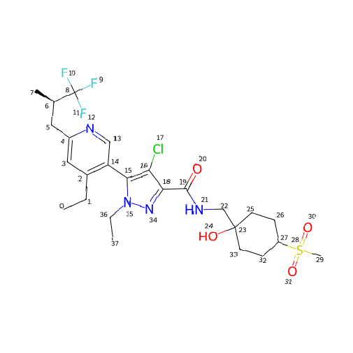 CCc1cc(C[C@@H](C)C(F)(F)F)ncc1-c1c(Cl)c(C(=O)NCC2(O)CCC(S(C)(=O)=O)CC2)nn1CC